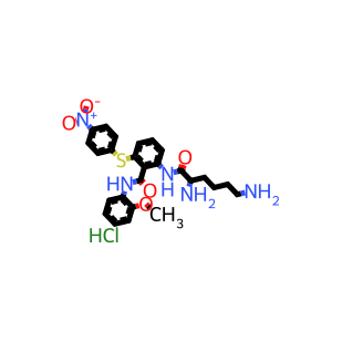 COc1ccccc1NC(=O)c1c(NC(=O)C(N)CCCCN)cccc1Sc1ccc([N+](=O)[O-])cc1.Cl